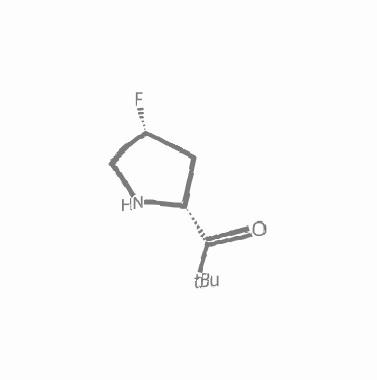 CC(C)(C)C(=O)[C@H]1C[C@@H](F)CN1